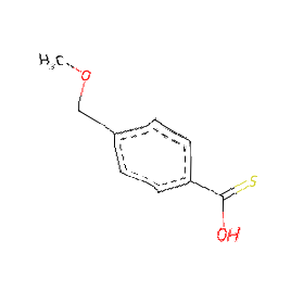 COCc1ccc(C(O)=S)cc1